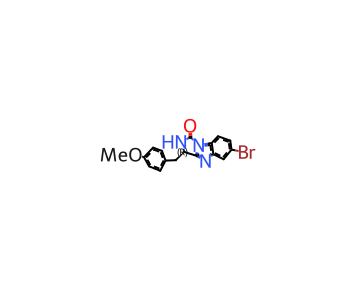 COc1ccc(C[C@H]2NC(=O)n3c2nc2cc(Br)ccc23)cc1